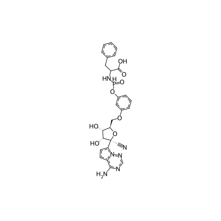 N#C[C@@]1(c2ccc3c(N)ncnn23)O[C@H](COc2cccc(O[PH](=O)NC(Cc3ccccc3)C(=O)O)c2)[C@@H](O)[C@H]1O